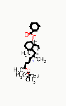 C[C@H](C/C=C/[C@H](C)[C@H]1CC[C@H]2[C@@H](OC(=O)c3ccccc3)CCC[C@]12C)O[Si](C)(C)C(C)(C)C